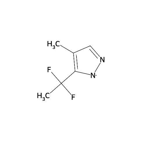 CC1=C(C(C)(F)F)[N]N=C1